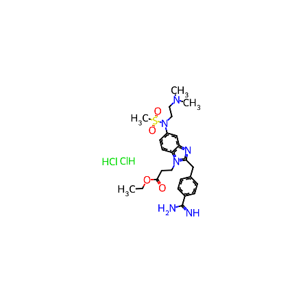 CCOC(=O)CCn1c(Cc2ccc(C(=N)N)cc2)nc2cc(N(CCN(C)C)S(C)(=O)=O)ccc21.Cl.Cl